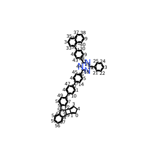 C1=C2C(=CC1)[C@@]13c4cc(-c5ccc(-c6ccc(-c7nc(-c8ccccc8)nc(-c8ccc(-c9cccc%10ccccc9%10)cc8)n7)cc6)cc5)ccc4C1c1ccccc1C23